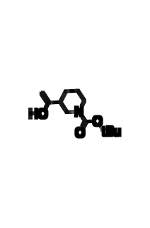 C=C(O)C1CCCN(C(=O)OC(C)(C)C)C1